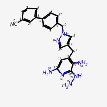 N#Cc1cccc(-c2ccc(Cn3cc(Cc4cc(N)nc(NN)c4N)cn3)cc2)c1